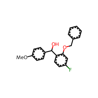 COc1ccc(C(O)c2ccc(F)cc2OCc2ccccc2)cc1